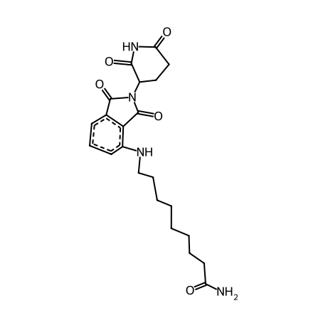 NC(=O)CCCCCCCCNc1cccc2c1C(=O)N(C1CCC(=O)NC1=O)C2=O